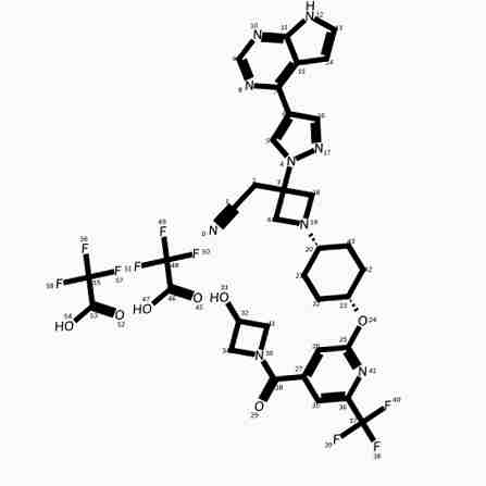 N#CCC1(n2cc(-c3ncnc4[nH]ccc34)cn2)CN([C@H]2CC[C@@H](Oc3cc(C(=O)N4CC(O)C4)cc(C(F)(F)F)n3)CC2)C1.O=C(O)C(F)(F)F.O=C(O)C(F)(F)F